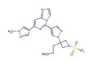 COCCC1(n2cc(-c3nc(-c4cnn(C)c4)cc4nccn34)cn2)CN(S(=O)(=O)C(F)(F)F)C1